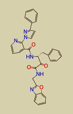 O=C(NCc1nc2ccccc2o1)C(=O)[C@@H](Cc1ccccc1)NC(=O)c1cccnc1-n1ccc(-c2ccccc2)n1